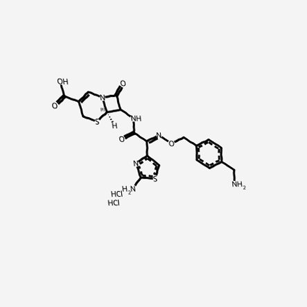 Cl.Cl.NCc1ccc(CON=C(C(=O)NC2C(=O)N3C=C(C(=O)O)CS[C@H]23)c2csc(N)n2)cc1